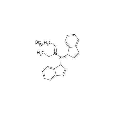 CC[SiH](CC)[Zr+2]([CH]1C=Cc2ccccc21)[CH]1C=Cc2ccccc21.[Br-].[Br-]